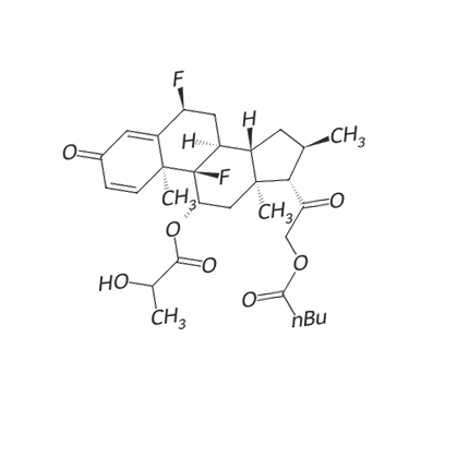 CCCCC(=O)OCC(=O)[C@H]1[C@H](C)C[C@H]2[C@@H]3C[C@H](F)C4=CC(=O)C=C[C@]4(C)[C@@]3(F)[C@@H](OC(=O)C(C)O)C[C@@]21C